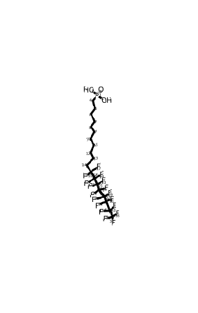 O=P(O)(O)CCCCCCCCCCCC(F)(F)C(F)(F)C(F)(F)C(F)(F)C(F)(F)C(F)(F)C(F)(F)C(F)(F)F